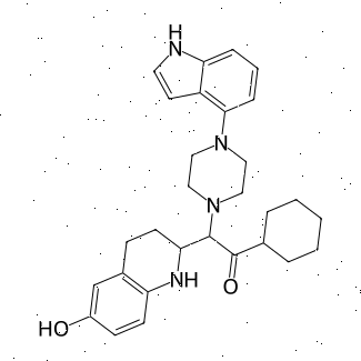 O=C(C1CCCCC1)C(C1CCc2cc(O)ccc2N1)N1CCN(c2cccc3[nH]ccc23)CC1